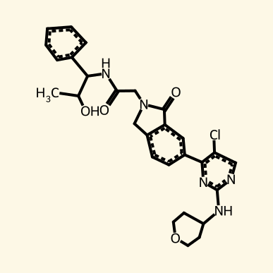 CC(O)C(NC(=O)CN1Cc2ccc(-c3nc(NC4CCOCC4)ncc3Cl)cc2C1=O)c1ccccc1